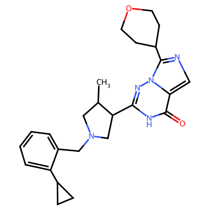 CC1CN(Cc2ccccc2C2CC2)CC1c1nn2c(C3CCOCC3)ncc2c(=O)[nH]1